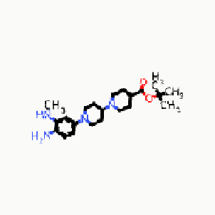 CNc1cc(N2CCC(N3CCC(C(=O)OC(C)(C)C)CC3)CC2)ccc1N